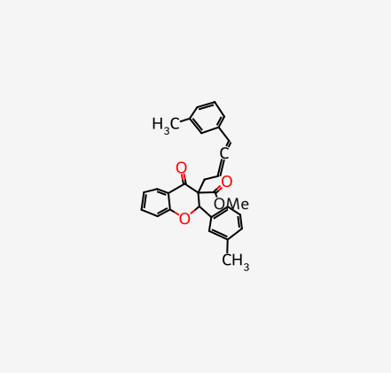 COC(=O)C1(CC=C=Cc2cccc(C)c2)C(=O)c2ccccc2OC1c1cccc(C)c1